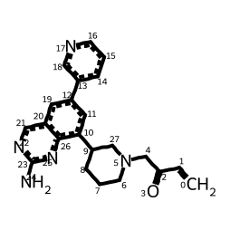 C=CC(=O)CN1CCCC(c2cc(-c3cccnc3)cc3cnc(N)nc23)C1